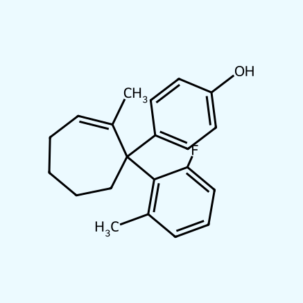 CC1=CCCCCC1(c1ccc(O)cc1)c1c(C)cccc1F